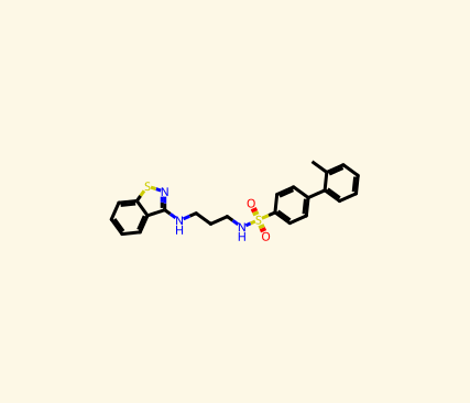 Cc1ccccc1-c1ccc(S(=O)(=O)NCCCNc2nsc3ccccc23)cc1